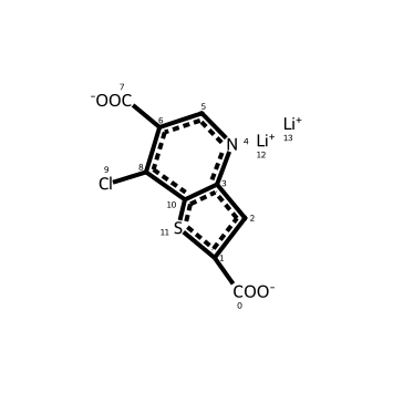 O=C([O-])c1cc2ncc(C(=O)[O-])c(Cl)c2s1.[Li+].[Li+]